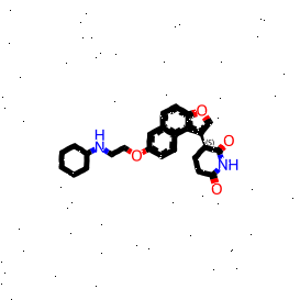 O=C1CC[C@@H](c2coc3ccc4cc(OCCNC5CCCCC5)ccc4c23)C(=O)N1